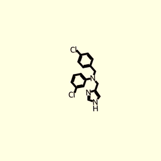 Clc1ccc(CN(Cc2c[nH]cn2)c2cccc(Cl)c2)cc1